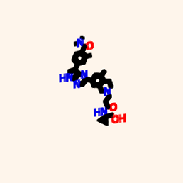 Cc1cc(-c2c[nH]c3ncc(-c4cc(C)c5c(c4)CN(CCC(=O)NC4(CO)CC4)CC5)nc23)ccc1C(=O)N(C)C